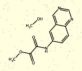 CO.COC(=O)C(=O)Nc1ccc2ncncc2c1